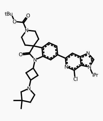 CC(C)n1cnc2cc(-c3ccc4c(c3)N(C3CC(N5CCC(C)(C)C5)C3)C(=O)C43CCN(C(=O)OC(C)(C)C)CC3)nc(Cl)c21